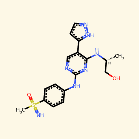 C[C@H](CO)Nc1nc(Nc2ccc(S(C)(=N)=O)cc2)ncc1-c1ccn[nH]1